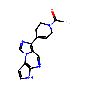 CC(=O)N1CC=C(c2ncn3c2cnc2[nH]ccc23)CC1